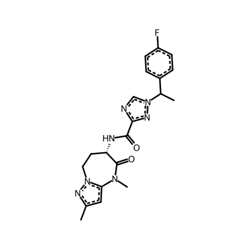 Cc1cc2n(n1)CC[C@H](NC(=O)c1ncn(C(C)c3ccc(F)cc3)n1)C(=O)N2C